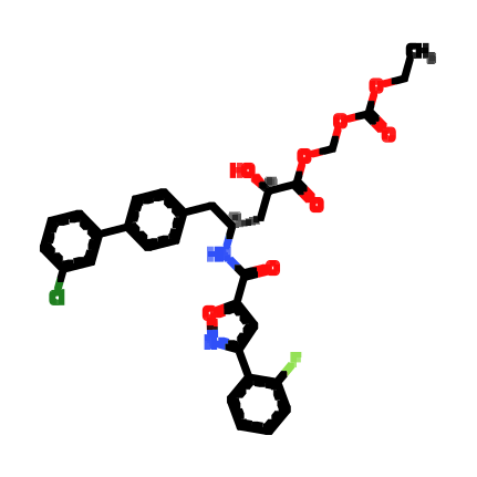 CCOC(=O)OCOC(=O)[C@H](O)C[C@@H](Cc1ccc(-c2cccc(Cl)c2)cc1)NC(=O)c1cc(-c2ccccc2F)no1